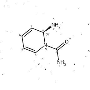 NC(=O)N1C=CC=C[C@H]1N